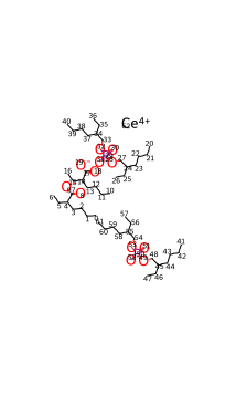 CCCCC(CC)C(=O)[O-].CCCCC(CC)C(=O)[O-].CCCCC(CC)COP(=O)([O-])OCC(CC)CCCC.CCCCC(CC)COP(=O)([O-])OCC(CC)CCCC.[Ce+4]